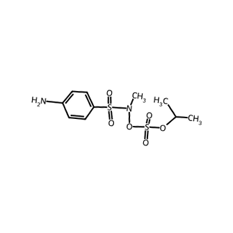 CC(C)OS(=O)(=O)ON(C)S(=O)(=O)c1ccc(N)cc1